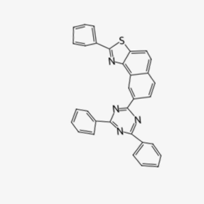 c1ccc(-c2nc(-c3ccccc3)nc(-c3ccc4ccc5sc(-c6ccccc6)nc5c4c3)n2)cc1